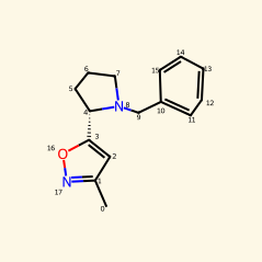 Cc1cc([C@@H]2CCCN2Cc2ccccc2)on1